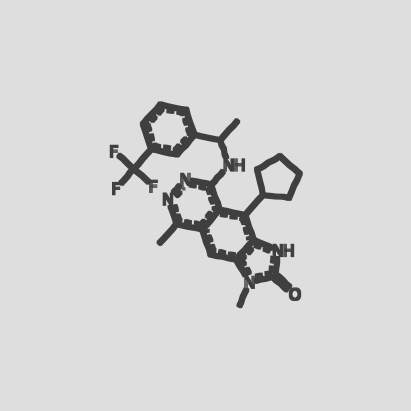 Cc1nnc(NC(C)c2cccc(C(F)(F)F)c2)c2c(C3CCCC3)c3[nH]c(=O)n(C)c3cc12